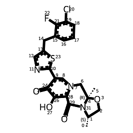 C[C@H]1CO[C@]2(C)Cn3cc(-c4ncc(Cc5cccc(Cl)c5F)s4)c(=O)c(O)c3C(=O)N12